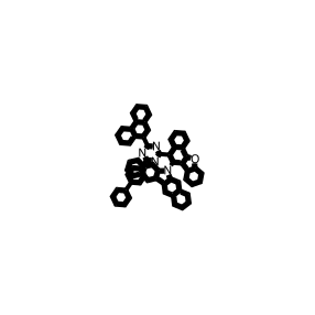 c1ccc(-c2ccc(-c3nc(-c4cc5ccccc5c5ccccc45)nc(-c4c(-n5c6cc7ccccc7cc6c6cc7ccccc7cc65)c5c6ccccc6oc5c5ccccc45)n3)cc2)cc1